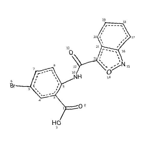 O=C(O)c1cc(Br)ccc1NC(=O)c1onc2ccccc12